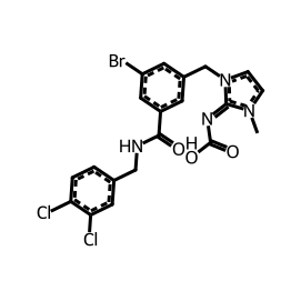 Cn1ccn(Cc2cc(Br)cc(C(=O)NCc3ccc(Cl)c(Cl)c3)c2)c1=NC(=O)O